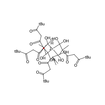 CC(C)(C)C(=O)CC(=O)C(C)(C)[C](O)(O)[Zr]([C](O)(O)C(C)(C)C(=O)CC(=O)C(C)(C)C)([C](O)(O)C(C)(C)C(=O)CC(=O)C(C)(C)C)[C](O)(O)C(C)(C)C(=O)CC(=O)C(C)(C)C